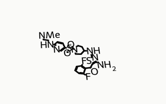 CNCCNc1ccc(S(=O)(=O)N2CCC(Nc3nc(N)c(C(=O)c4c(F)cccc4F)s3)CC2)cn1